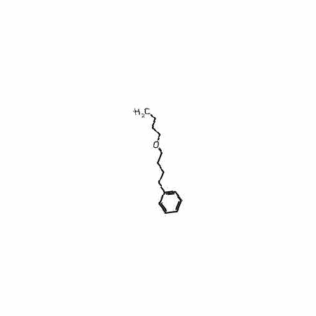 [CH2]CCCOCCCCc1ccccc1